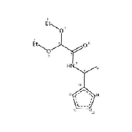 CCOC(OCC)C(=O)NC(C)c1ccsc1